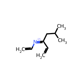 C=C/N=C(\C=C)CC(C)C